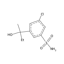 CCC(C)(O)c1cc(Cl)cc(S(N)(=O)=O)c1